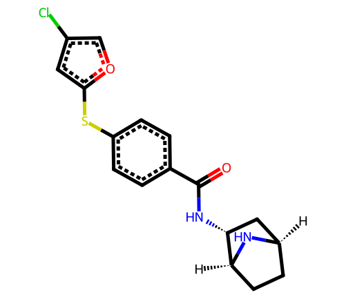 O=C(N[C@@H]1C[C@H]2CC[C@@H]1N2)c1ccc(Sc2cc(Cl)co2)cc1